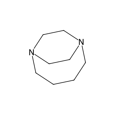 C1CCN2CCN(C1)CC2